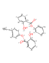 CC(C)(C)c1ccc(OC(=O)c2ccccc2O)cc1.O=C(Oc1ccccc1)c1ccccc1O